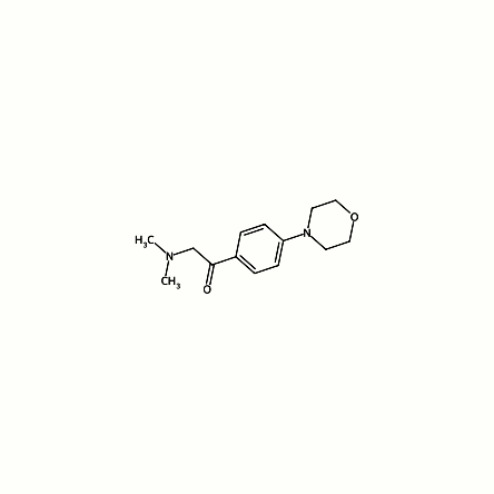 CN(C)CC(=O)c1ccc(N2CCOCC2)cc1